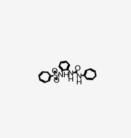 O=C(NC1=CC=CCC=C1)Nc1ccccc1NS(=O)(=O)C1=CC=CC=CC1